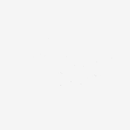 Cc1ccc2sc3ccc(N(c4ccccc4)c4ccc(N(C)c5ccccc5)cc4)cc3c2c1